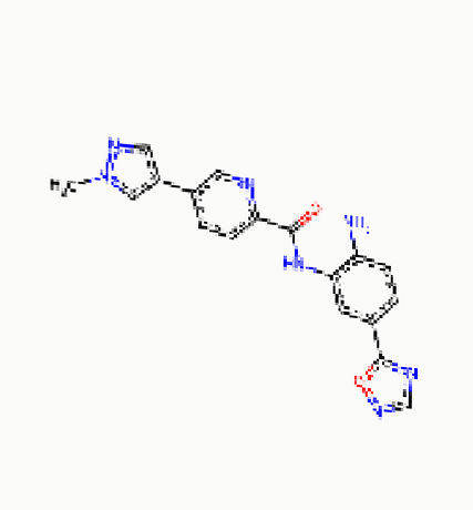 Cn1cc(-c2ccc(C(=O)Nc3cc(-c4ncno4)ccc3N)nc2)cn1